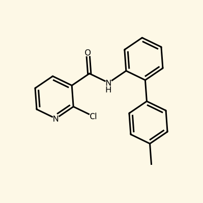 Cc1ccc(-c2ccccc2NC(=O)c2cccnc2Cl)cc1